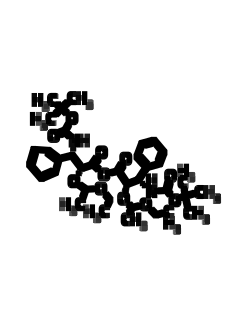 CCOC(C)O[C@@H](C(=O)OC(=O)[C@H](OC(C)OCC)[C@@H](NC(=O)OC(C)(C)C)c1ccccc1)[C@@H](NC(=O)OC(C)(C)C)c1ccccc1